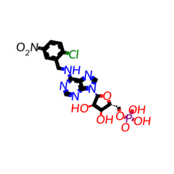 O=[N+]([O-])c1ccc(Cl)c(CNc2ncnc3c2ncn3[C@@H]2O[C@H](COP(=O)(O)O)[C@@H](O)[C@H]2O)c1